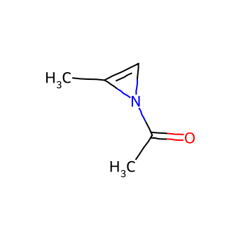 CC(=O)N1C=C1C